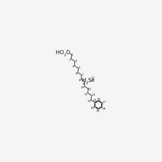 O=C(O)CCCCCCCCCCCCCCc1ccccc1.[SeH2]